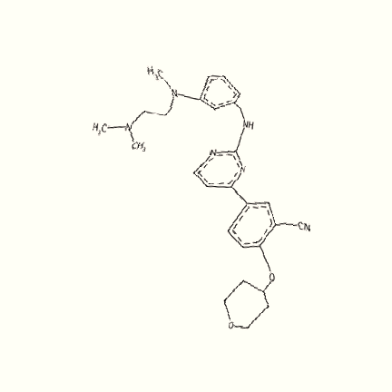 CN(C)CCN(C)c1cccc(Nc2nccc(-c3ccc(OC4CCOCC4)c(C#N)c3)n2)c1